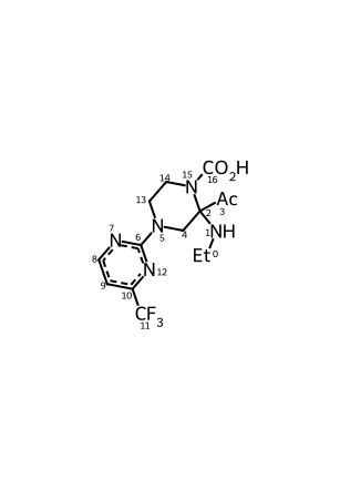 CCNC1(C(C)=O)CN(c2nccc(C(F)(F)F)n2)CCN1C(=O)O